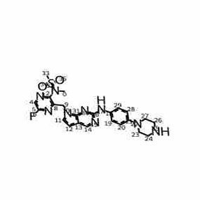 CN(c1ncc(F)nc1Cn1ccc2cnc(Nc3ccc(N4CCNCC4)cc3)nc21)S(C)(=O)=O